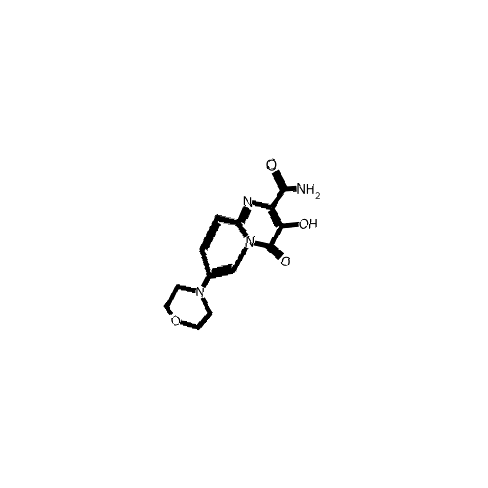 NC(=O)c1nc2ccc(N3CCOCC3)cn2c(=O)c1O